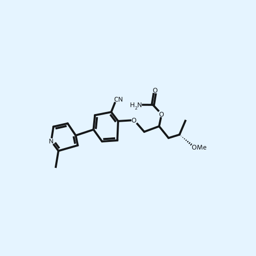 CO[C@@H](C)CC(COc1ccc(-c2ccnc(C)c2)cc1C#N)OC(N)=O